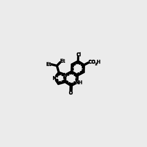 CCC(CC)c1ncc2c(=O)[nH]c3cc(C(=O)O)c(Cl)cc3n12